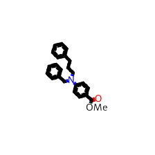 COC(=O)c1ccc(N(CCCc2ccccc2)Cc2ccccc2)cc1